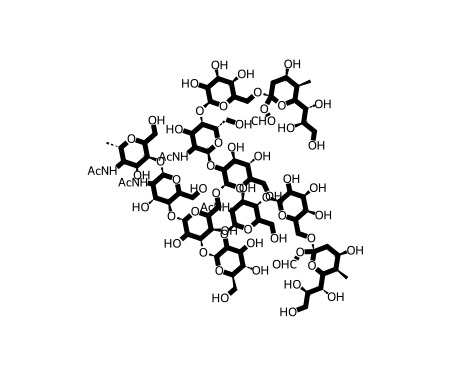 CC(=O)NC1C(O)[C@H](O[C@@H]2OC(CO[C@]3(OC=O)C[C@@H](O)[C@@H](C)C([C@H](O)[C@H](O)CO)O3)[C@H](O)[C@H](O)C2O)[C@H](CO)O[C@H]1OC1[C@@H](OCC2O[C@@H](O[C@@H]3C(CO)O[C@@H](O[C@@H]4C(CO)O[C@@H](C)C(NC(C)=O)[C@H]4O)C(NC(C)=O)[C@H]3O)C(O)[C@@H](O[C@H]3O[C@H](CO)[C@@H](O)C(O)C3O[C@@H]3OC(CO)[C@@H](O[C@@H]4OC(CO[C@]5(OC=O)C[C@@H](O)[C@@H](C)C([C@H](O)[C@H](O)CO)O5)[C@H](O)[C@H](O)C4O)[C@H](O)C3NC(C)=O)[C@@H]2O)OC(CO)[C@@H](O)[C@@H]1O